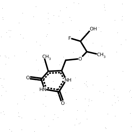 Cc1c(COC(C)C(O)F)[nH]c(=O)[nH]c1=O